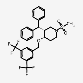 CS(=O)(=O)N1CC[C@H](OCc2cc(C(F)(F)F)cc(C(F)(F)F)c2)[C@H](C(c2ccccc2)c2ccccc2)C1